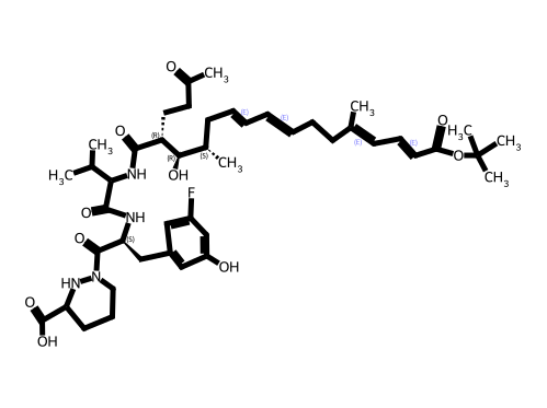 CC(=O)CC[C@@H](C(=O)NC(C(=O)N[C@@H](Cc1cc(O)cc(F)c1)C(=O)N1CCCC(C(=O)O)N1)C(C)C)[C@H](O)[C@@H](C)C/C=C/C=C/CC/C(C)=C/C=C/C(=O)OC(C)(C)C